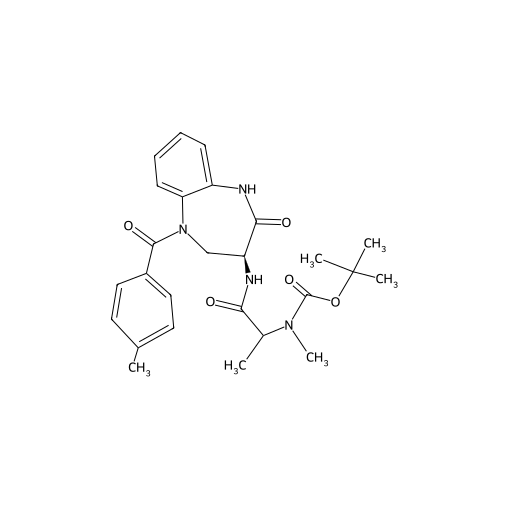 Cc1ccc(C(=O)N2C[C@H](NC(=O)C(C)N(C)C(=O)OC(C)(C)C)C(=O)Nc3ccccc32)cc1